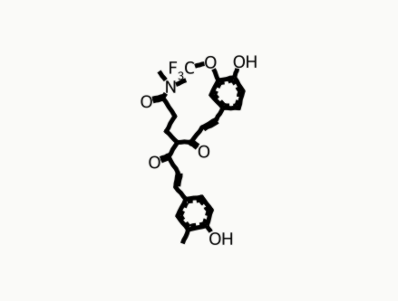 Cc1cc(/C=C/C(=O)C(CCC(=O)N(C)C)C(=O)/C=C/c2ccc(O)c(OC(F)(F)F)c2)ccc1O